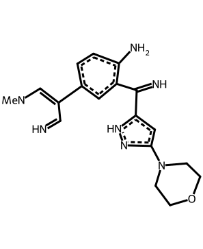 CN/C=C(\C=N)c1ccc(N)c(C(=N)c2cc(N3CCOCC3)n[nH]2)c1